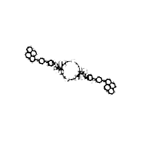 C=C1OCCOCCO[C@H](C(=O)Nc2ccc(-c3ccc(-c4ccc5ccc6cccc7ccc4c5c67)cc3)cc2)C(=C)OCCOCCO[C@@H]1C(=O)Nc1ccc(-c2ccc(-c3ccc4ccc5cccc6ccc3c4c56)cc2)cc1